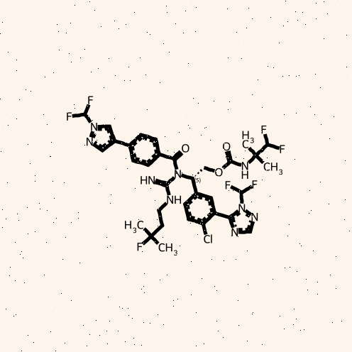 CC(C)(F)CCNC(=N)N(C(=O)c1ccc(-c2cnn(C(F)F)c2)cc1)[C@H](COC(=O)NC(C)(C)C(F)F)c1ccc(Cl)c(-c2ncnn2C(F)F)c1